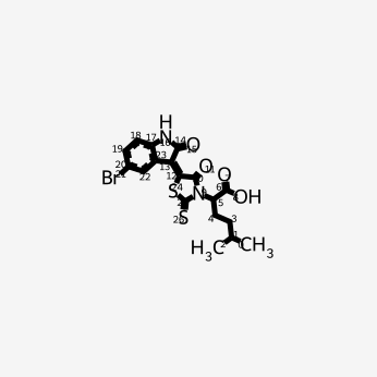 CC(C)CCC(C(=O)O)N1C(=O)C(=C2C(=O)Nc3ccc(Br)cc32)SC1=S